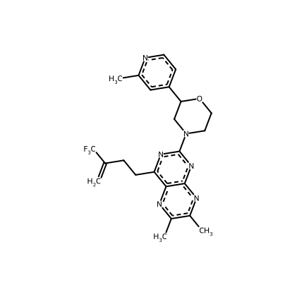 C=C(CCc1nc(N2CCOC(c3ccnc(C)c3)C2)nc2nc(C)c(C)nc12)C(F)(F)F